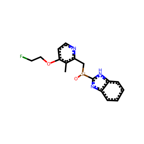 Cc1c(OCCF)ccnc1C[S+]([O-])c1nc2ccccc2[nH]1